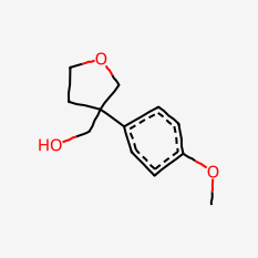 COc1ccc(C2(CO)CCOC2)cc1